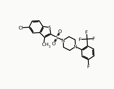 Cc1c(S(=O)(=O)N2CCN(c3cc(F)ccc3C(F)(F)F)CC2)sc2ccc(Cl)cc12